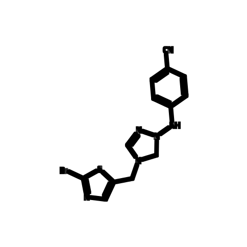 N#Cc1ccc(NN2CN(Cc3cnc(Br)s3)C=N2)cc1